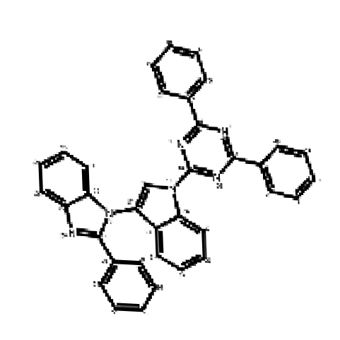 c1ccc(-c2nc(-c3ccccc3)nc(-n3cc(-n4c(-c5ccccc5)nc5ccccc54)c4ccccc43)n2)cc1